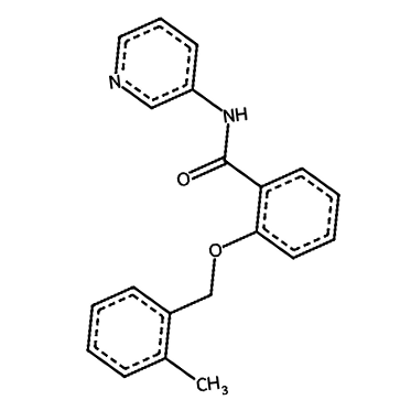 Cc1ccccc1COc1ccccc1C(=O)Nc1cccnc1